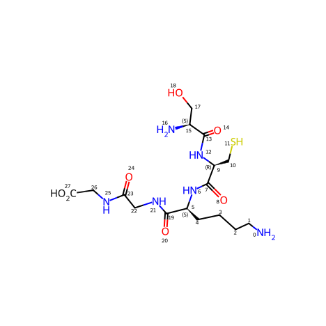 NCCCC[C@H](NC(=O)[C@H](CS)NC(=O)[C@@H](N)CO)C(=O)NCC(=O)NCC(=O)O